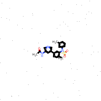 CC(=O)Nc1cncc(-c2ccc(C)c(N(c3cccc(C)c3)[SH](=O)=O)c2)c1